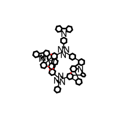 N#Cc1cccc(-c2cccc(-c3nc(-c4ccccc4)nc(-c4ccc5c(c4)-c4ccccc4C54c5ccccc5-n5c6cccc(-c7ccc(-c8nc(-c9ccc(-n%10c%11ccccc%11c%11ccccc%11%10)cc9)nc(-c9ccc%10c(c9)-c9ccccc9C%109c%10ccccc%10-n%10c%11ccccc%11c%11cccc9c%11%10)n8)cc7)c6c6cccc4c65)n3)c2)c1